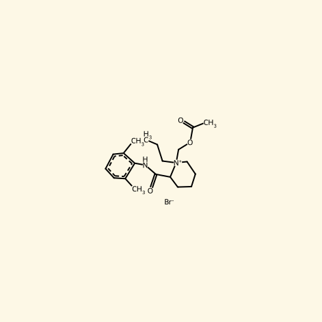 CCC[N+]1(COC(C)=O)CCCCC1C(=O)Nc1c(C)cccc1C.[Br-]